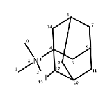 C[N+](C)(C)C12CC3CC(CC(C3)C1I)C2